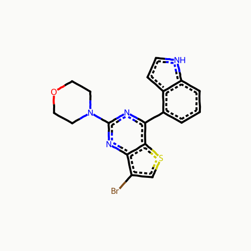 Brc1csc2c(-c3cccc4[nH]ccc34)nc(N3CCOCC3)nc12